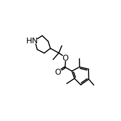 Cc1cc(C)c(C(=O)OC(C)(C)C2CCNCC2)c(C)c1